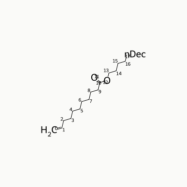 C=CCCCCCCCCC(=O)OCCCCCCCCCCCCCC